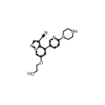 N#Cc1cnn2cc(OCCO)cc(-c3ccc(N4CCNCC4)nc3)c12